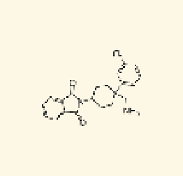 NCC1(c2cccc(Cl)c2)CCC(N2C(=O)c3ccccc3C2=O)CC1